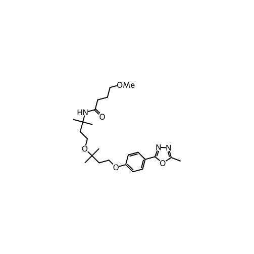 COCCCC(=O)NC(C)(C)CCOC(C)(C)CCOc1ccc(-c2nnc(C)o2)cc1